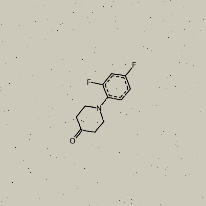 O=C1CCN(c2ccc(F)cc2F)CC1